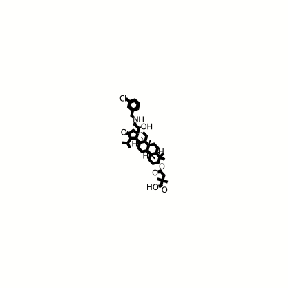 CC(C)C1=C2[C@H]3CC[C@@H]4[C@@]5(C)CC[C@H](OC(=O)CC(C)(C)C(=O)O)C(C)(C)[C@@H]5CC[C@@]4(C)[C@]3(C)CC[C@@]2([C@H](O)CNCc2cccc(Cl)c2)CC1=O